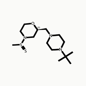 CS(=S)N1CCO[C@@H](CN2CCN(C(C)(C)C)CC2)C1